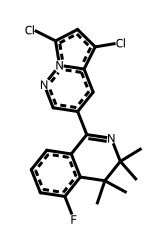 CC1(C)N=C(c2cnn3c(Cl)cc(Cl)c3c2)c2cccc(F)c2C1(C)C